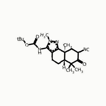 [C-]#[N+]C1C[C@]2(C)c3nn(C)c(NC(=O)OC(C)(C)C)c3CC[C@H]2C(C)(C)C1=O